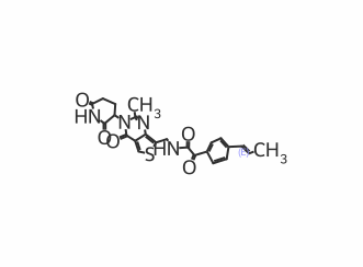 C/C=C/c1ccc(C(=O)C(=O)NCc2scc3c(=O)n(C4CCC(=O)NC4=O)c(C)nc23)cc1